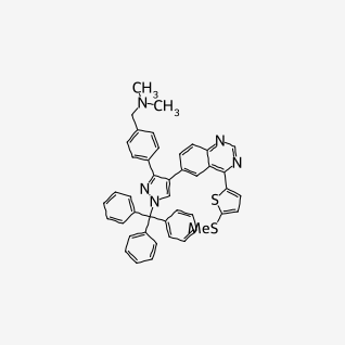 CSc1ccc(-c2ncnc3ccc(-c4cn(C(c5ccccc5)(c5ccccc5)c5ccccc5)nc4-c4ccc(CN(C)C)cc4)cc23)s1